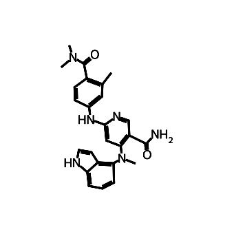 Cc1cc(Nc2cc(N(C)c3cccc4[nH]ccc34)c(C(N)=O)cn2)ccc1C(=O)N(C)C